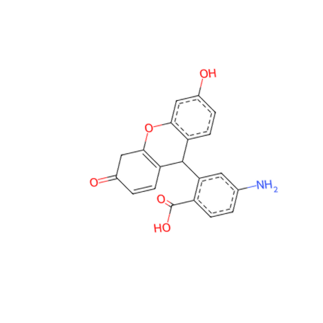 Nc1ccc(C(=O)O)c(C2C3=C(CC(=O)C=C3)Oc3cc(O)ccc32)c1